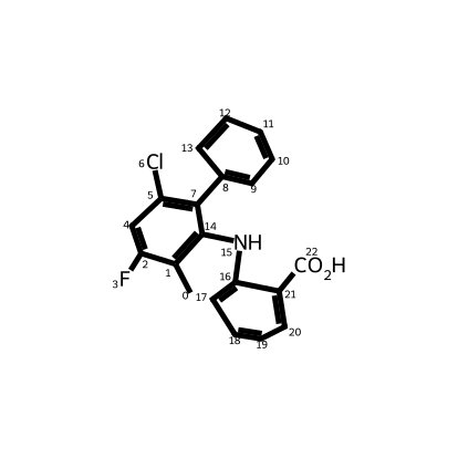 Cc1c(F)cc(Cl)c(-c2ccccc2)c1Nc1ccccc1C(=O)O